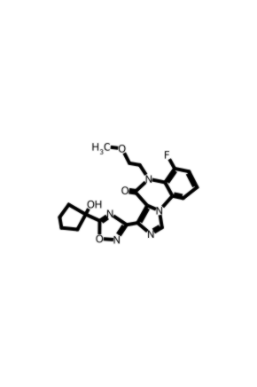 COCCn1c(=O)c2c(-c3noc(C4(O)CCCC4)n3)ncn2c2cccc(F)c21